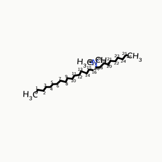 CCCCCCCCCCCCCCCCC[C@@H](CCCCCCCCC)N(C)C